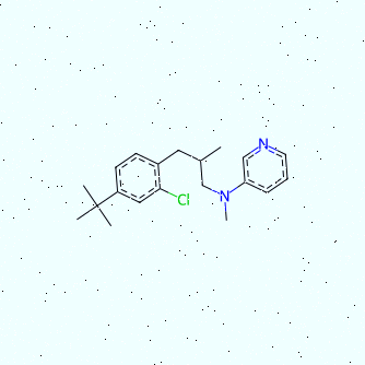 CC(Cc1ccc(C(C)(C)C)cc1Cl)CN(C)c1cccnc1